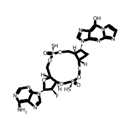 Nc1ncnc2c1ncn2[C@@H]1O[C@@H]2CO[P@](=O)(S)OC[C@@H]3[C@@H](CO[P@@](=O)(S)O[C@H]2[C@H]1F)C[C@H]3n1cnc2c(O)n3ccnc3nc21